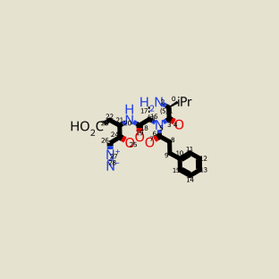 CC(C)[C@H](N)C(=O)N(C(=O)CCc1ccccc1)[C@@H](C)C(=O)NC(CC(=O)O)C(=O)C=[N+]=[N-]